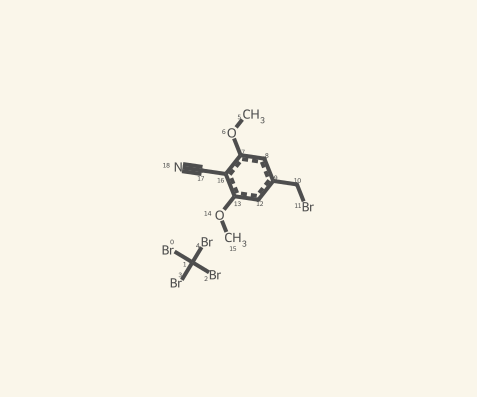 BrC(Br)(Br)Br.COc1cc(CBr)cc(OC)c1C#N